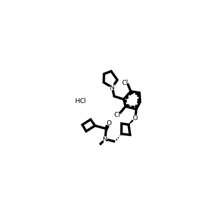 CN(C[C@H]1C[C@H](Oc2ccc(Cl)c(CN3CCCC3)c2Cl)C1)C(=O)C1CCC1.Cl